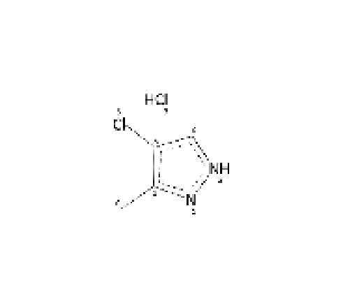 Cc1n[nH]cc1Cl.Cl